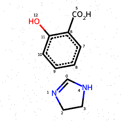 C1=NCCN1.O=C(O)c1ccccc1O